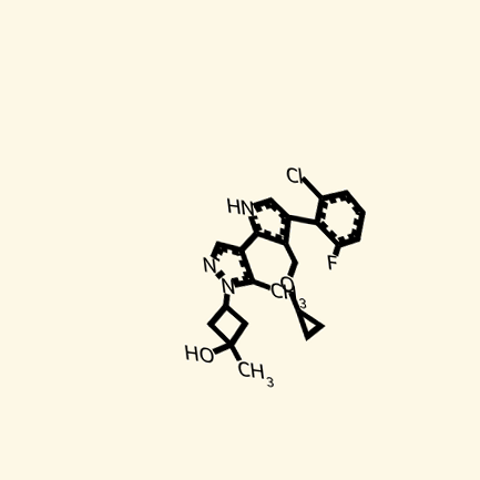 Cc1c(-c2[nH]cc(-c3c(F)cccc3Cl)c2COC2CC2)cnn1C1CC(C)(O)C1